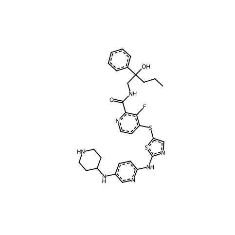 CCCC(O)(CNC(=O)c1nccc(Sc2cnc(Nc3ccc(NC4CCNCC4)cn3)s2)c1F)c1ccccc1